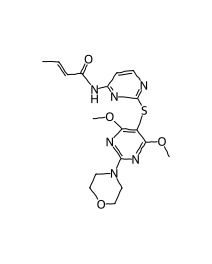 C/C=C/C(=O)Nc1ccnc(Sc2c(OC)nc(N3CCOCC3)nc2OC)n1